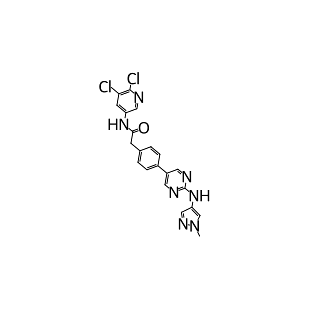 Cn1cc(Nc2ncc(-c3ccc(CC(=O)Nc4cnc(Cl)c(Cl)c4)cc3)cn2)cn1